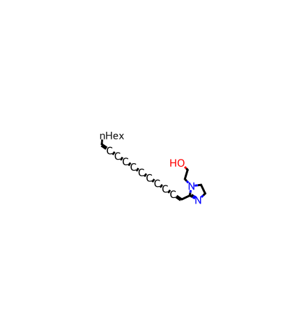 CCCCCCC=C=C=C=C=C=C=C=C=C=CC1=NCCN1CCO